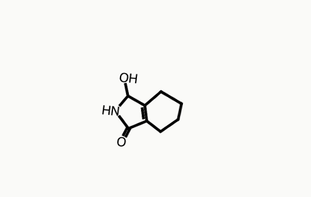 O=C1NC(O)C2=C1CCCC2